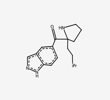 CC(C)CCC1(C(=O)c2ccc3[nH]ncc3c2)CCCN1